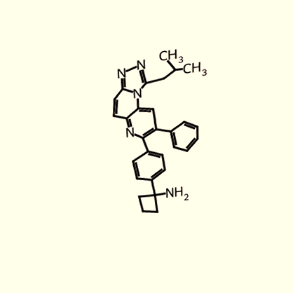 CC(C)Cc1nnc2ccc3nc(-c4ccc(C5(N)CCC5)cc4)c(-c4ccccc4)cc3n12